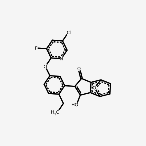 CCc1ccc(Oc2ncc(Cl)cc2F)cc1C1=C(O)c2c(c3ccc2o3)C1=O